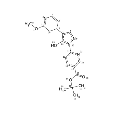 COC1=NC=CC(c2cnn(-c3ccc(C(=O)OC(C)(C)C)cn3)c2O)C1